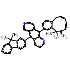 C=C1/C=C\C=C/Cc2ccc(-c3c4ccncc4c(-c4ccc5c(c4)C(C)(C)c4ccccc4-5)c4cccnc34)cc2C1(C)C